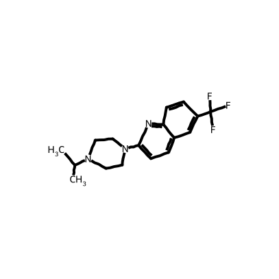 CC(C)N1CCN(c2ccc3cc(C(F)(F)F)ccc3n2)CC1